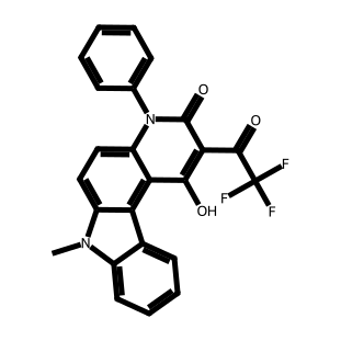 Cn1c2ccccc2c2c3c(O)c(C(=O)C(F)(F)F)c(=O)n(-c4ccccc4)c3ccc21